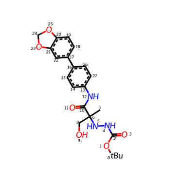 CC(C)(C)OC(=O)NNC(C)(CO)C(=O)Nc1ccc(-c2ccc3c(c2)OCO3)cc1